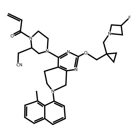 C=CC(=O)N1CCN(c2nc(OCC3(CN4CC(F)C4)CC3)nc3c2CCN(c2cccc4cccc(C)c24)C3)CC1CC#N